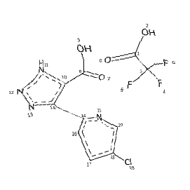 O=C(O)C(F)(F)F.O=C(O)c1[nH]nnc1-c1ccc(Cl)cn1